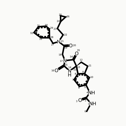 CNC(=O)Nc1ccc2c(c1)CC[C@]21NC(=O)N(CC(=O)N(CCC2CC2)Cc2ccccc2)C1=O